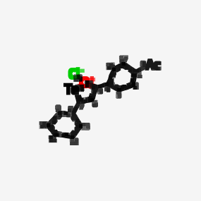 CC(=O)c1ccc(-c2cc(-c3ccccc3)[te][o+]2)cc1.[Cl-]